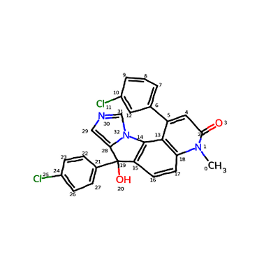 Cn1c(=O)cc(-c2cccc(Cl)c2)c2c3c(ccc21)C(O)(c1ccc(Cl)cc1)c1cncn1-3